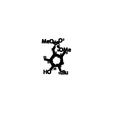 COP(=O)(Cc1c(C)cc(C(C)(C)C)c(O)c1C)OC